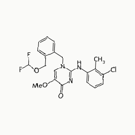 COc1cn(Cc2ccccc2COC(F)F)c(Nc2cccc(Cl)c2C)nc1=O